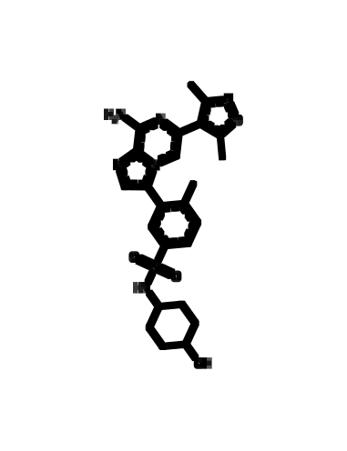 Cc1ccc(S(=O)(=O)NC2CCC(O)CC2)cc1-c1cnc2c(N)nc(-c3c(C)noc3C)cn12